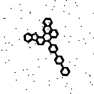 c1ccc(-c2ccc(-c3ccc(N(c4ccccc4)c4ccc5c(sc6ccccc65)c4-c4ccc5ccccc5c4)cc3)cc2)cc1